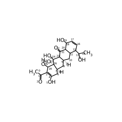 CC(=O)C1=C(O)C[C@@H]2C[C@@H]3CC4C(C(C)O)C=CC(O)C4C(=O)C3C(O)[C@]2(O)C1O